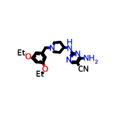 CCOc1cc(CN2CCC(Nc3ncc(C#N)c(N)n3)CC2)cc(OCC)c1